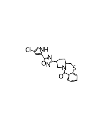 O=C1c2ccccc2SCC2CCC(c3noc(-c4cc(Cl)c[nH]4)n3)CN12